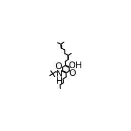 CCCCCC1=C(NCC(C)(C)C)C(=O)C(CC=C(C)CCC=C(C)C)=C(O)C1=O